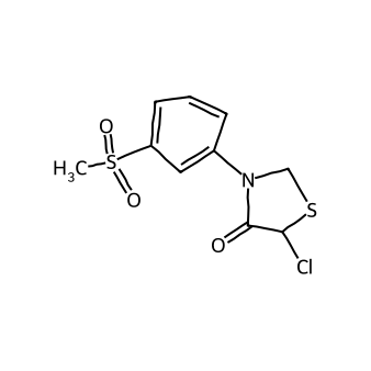 CS(=O)(=O)c1cccc(N2CSC(Cl)C2=O)c1